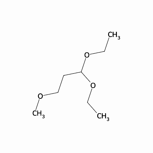 CCOC(CCOC)OCC